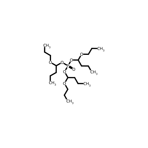 CCCOC(CCC)OP(=O)(OC(CCC)OCCC)OC(CCC)OCCC